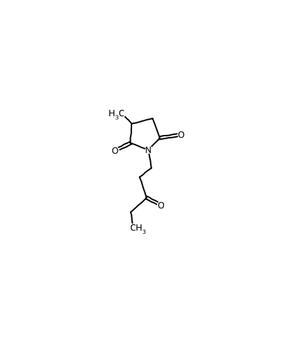 CCC(=O)CCN1C(=O)CC(C)C1=O